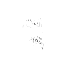 C=C(C)C1=CN2C(=CC1=C)c1cc(CC)c(CCCCCCCNC(=O)C3CCCCN3CC3=C[C@H](c4ccc(F)cc4Cl)N=C(c4nccs4)N3)cc1CC2C(C)(C)C